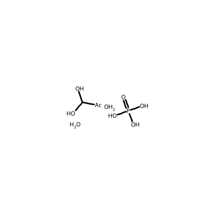 CC(=O)C(O)O.O.O.O=P(O)(O)O